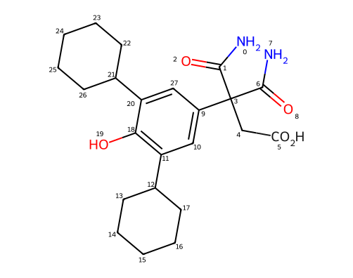 NC(=O)C(CC(=O)O)(C(N)=O)c1cc(C2CCCCC2)c(O)c(C2CCCCC2)c1